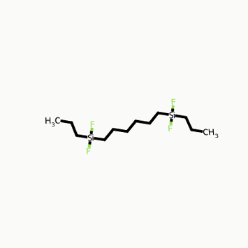 CCC[Si](F)(F)CCCCCC[Si](F)(F)CCC